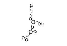 COC(=O)/C=C/c1ccc(OCc2cc(CO)cc(OCCCCCCCl)c2)c(OC)c1